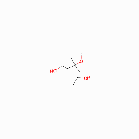 CCO.COC(C)(C)CCO